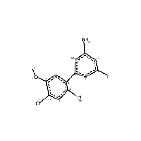 COc1cc(-c2cc(C)nc(N)n2)c(Cl)cc1Cl